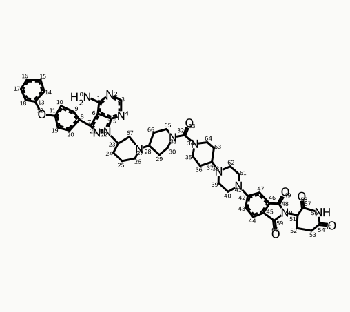 Nc1ncnc2c1c(-c1ccc(Oc3ccccc3)cc1)nn2C1CCCN(C2CCN(C(=O)N3CCC(N4CCN(c5ccc6c(c5)C(=O)N(C5CCC(=O)NC5=O)C6=O)CC4)CC3)CC2)C1